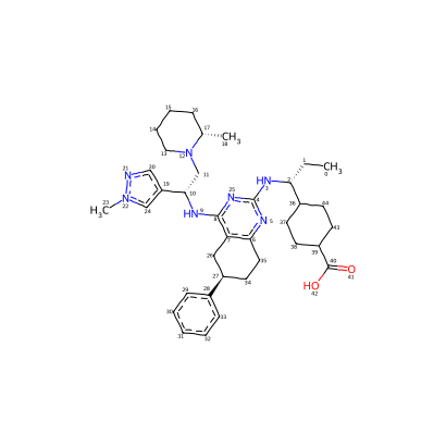 CC[C@@H](Nc1nc2c(c(N[C@@H](CN3CCCC[C@@H]3C)c3cnn(C)c3)n1)C[C@H](c1ccccc1)CC2)C1CCC(C(=O)O)CC1